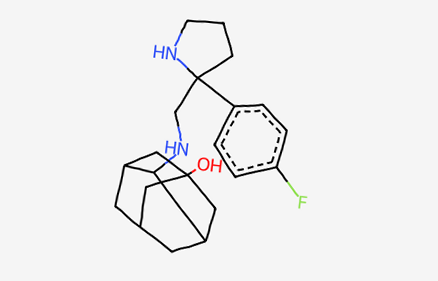 OC12CC3CC(C1)C(NCC1(c4ccc(F)cc4)CCCN1)C(C3)C2